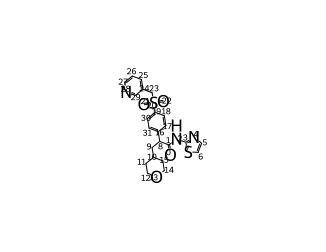 O=C(Nc1nccs1)C(CC1CCOCC1)c1ccc(S(=O)(=O)Cc2cccnc2)cc1